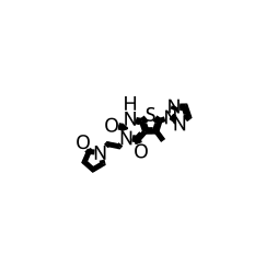 Cc1c(-n2nccn2)sc2[nH]c(=O)n(CCN3CCCC3=O)c(=O)c12